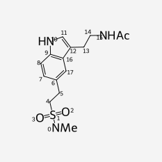 CNS(=O)(=O)CCc1ccc2[nH]cc(CCNC(C)=O)c2c1